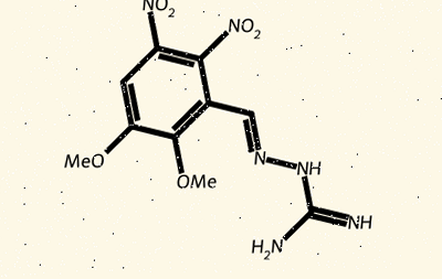 COc1cc([N+](=O)[O-])c([N+](=O)[O-])c(C=NNC(=N)N)c1OC